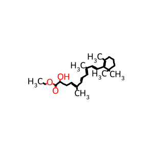 CCOC(=O)C(O)CC=C(C)C=CC=C(C)C=CC1=C(C)CCCC1(C)C